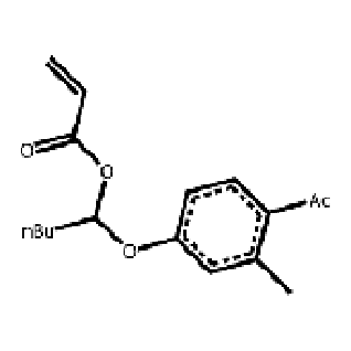 C=CC(=O)OC(CCCC)Oc1ccc(C(C)=O)c(C)c1